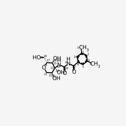 Cc1cc(C)cc(C(=O)NC(=O)N[C@]2(O)[C@H](O)[C@@H](CO)OC[C@@H]2O)c1